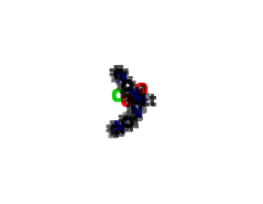 CCN1C(=O)N(c2ccc(-n3cccc3)cc2Cl)C(=O)C12CCN(Cc1ccc(N3CCCC3)cc1)CC2